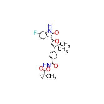 CC1(C(=O)ONC(=O)c2ccc(C3=CC(=C4C(=O)Nc5cc(F)ccc54)OC3(C)C)cc2)CC1